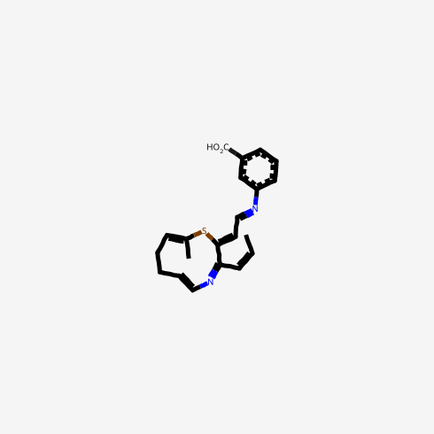 C\C=C/C1=N/C=C/CC/C=C(\C)SC1=C/C=N/c1cccc(C(=O)O)c1